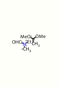 CCN(C)C=O.COC(C)OC